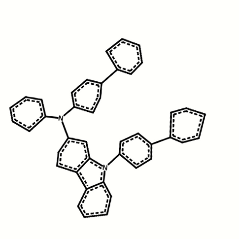 c1ccc(-c2ccc(N(c3ccccc3)c3ccc4c5ccccc5n(-c5ccc(-c6ccccc6)cc5)c4c3)cc2)cc1